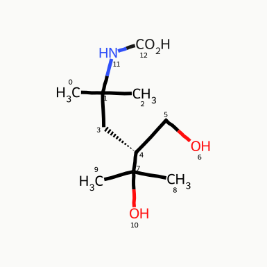 CC(C)(C[C@H](CO)C(C)(C)O)NC(=O)O